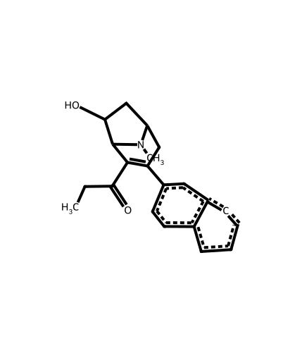 CCC(=O)C1=C(c2ccc3ccccc3c2)CC2CC(O)C1N2C